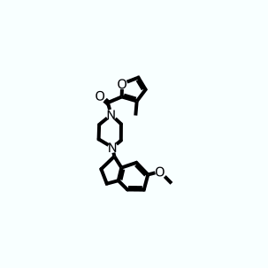 COc1ccc2c(c1)C(N1CCN(C(=O)c3occc3C)CC1)CC2